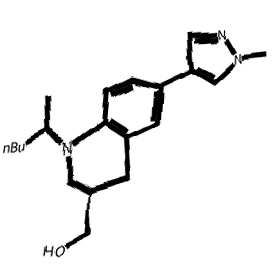 CCCCC(C)N1C[C@H](CO)Cc2cc(-c3cnn(C)c3)ccc21